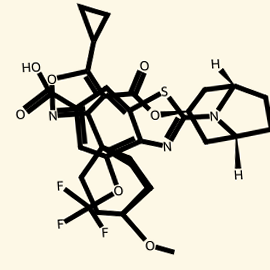 COC12CCC(c3noc(C4CC4)c3C(=O)O[C@@H]3C[C@H]4CC[C@@H](C3)N4c3nc4c(OC(F)(F)F)cc(C(=O)O)cc4s3)(CC1)CC2